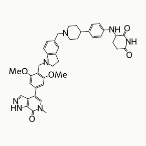 COc1cc(-c2cn(C)c(=O)c3[nH]ncc23)cc(OC)c1CN1CCc2cc(CN3CCC(c4ccc(NC5CCC(=O)NC5=O)cc4)CC3)ccc21